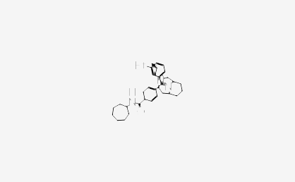 C=CCN1CCC2CCCC(C1)N2C(C1=CCC(C(=O)NC2CCCCCC2)C=C1)c1cccc(CC)c1